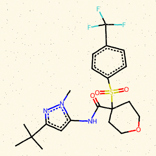 Cn1nc(C(C)(C)C)cc1NC(=O)C1(S(=O)(=O)c2ccc(C(F)(F)F)cc2)CCOCC1